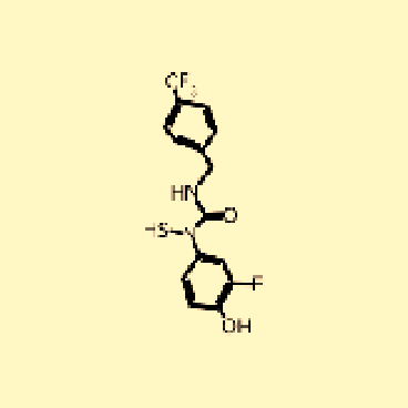 O=C(NCc1ccc(C(F)(F)F)cc1)N(S)c1ccc(O)c(F)c1